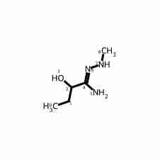 CCC(O)/C(N)=N/NC